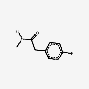 CCN(C)C(=O)Cc1ccc(F)cc1